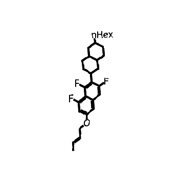 CC=CCOc1cc(F)c2c(F)c(C3CCC4CC(CCCCCC)CCC4C3)c(F)cc2c1